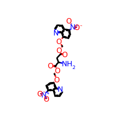 NC(CC(=O)OCOc1ccc([N+](=O)[O-])c2cccnc12)C(=O)OCOc1ccc([N+](=O)[O-])c2cccnc12